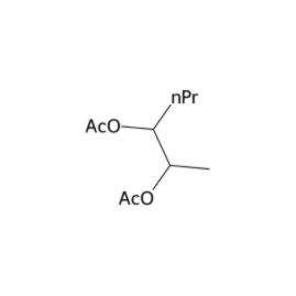 CCCC(OC(C)=O)C(C)OC(C)=O